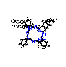 O=C([O-])c1ccc2c3nc4nc(nc5[nH]c(nc6nc(nc([nH]3)c2c1C(=O)[O-])-c1ccccc1-6)c1ccccc51)-c1ccccc1-4.[Au+].[Au+]